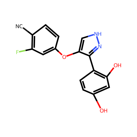 N#Cc1ccc(Oc2c[nH]nc2-c2ccc(O)cc2O)cc1F